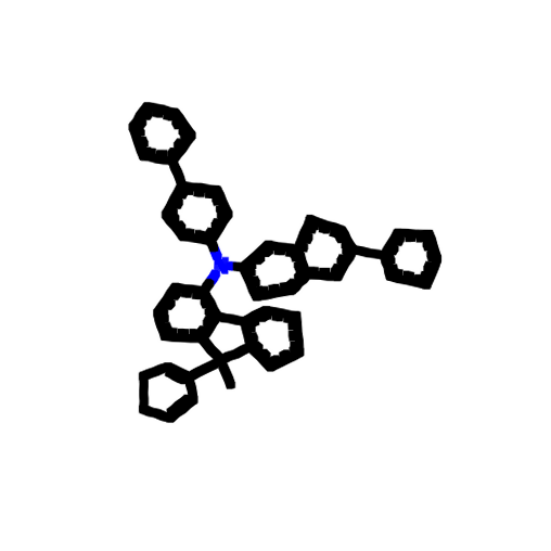 CC1(C2=CCCC=C2)c2ccccc2-c2c(N(c3ccc(-c4ccccc4)cc3)c3ccc4cc(-c5ccccc5)ccc4c3)cccc21